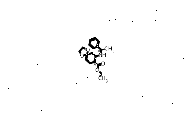 CCOC(=O)[C@H]1CCC2(CC1N[C@H](C)c1ccccc1)OCCO2